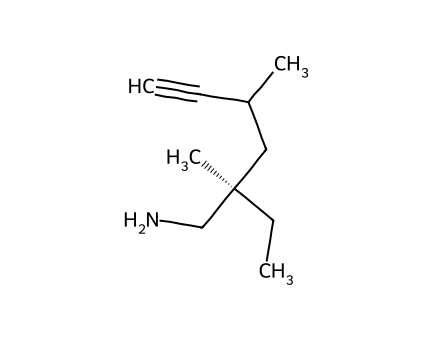 C#CC(C)C[C@@](C)(CC)CN